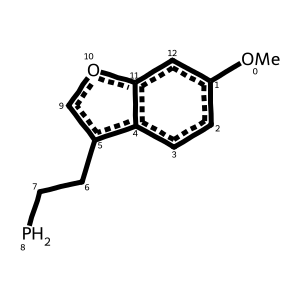 COc1ccc2c(CCP)coc2c1